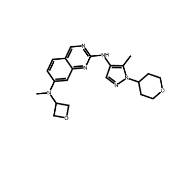 Cc1c(Nc2ncc3ccc(N(C)C4COC4)cc3n2)cnn1C1CCOCC1